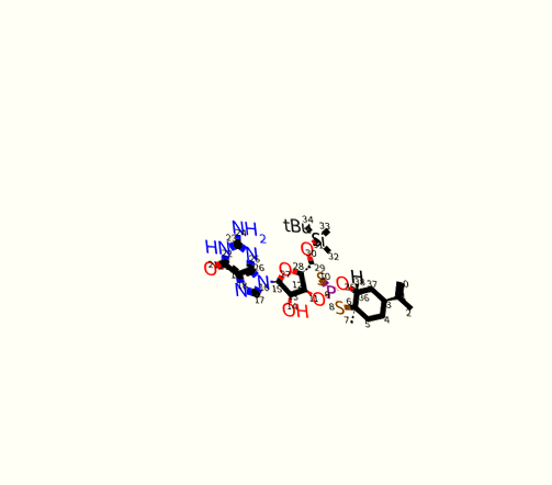 C=C(C)[C@H]1CC[C@@]2(C)S[P@](=S)(O[C@H]3[C@@H](O)[C@H](n4cnc5c(=O)[nH]c(N)nc54)O[C@@H]3CO[Si](C)(C)C(C)(C)C)O[C@@H]2C1